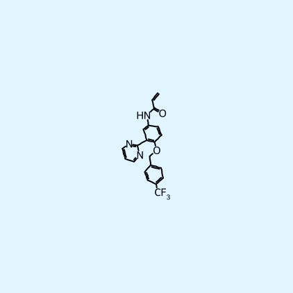 C=CC(=O)Nc1ccc(OCc2ccc(C(F)(F)F)cc2)c(-c2ncccn2)c1